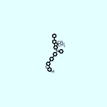 [2H]c1ccc2sc3ccc(-c4ccc(-c5ccc(N(c6ccccc6)c6ccc7c(c6)C(C)(C)c6cc(-c8ccccc8)ccc6-7)cc5)cc4)cc3c2c1